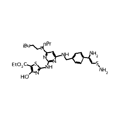 CCCN(CCC(C)CC)c1cc(NCc2ccc(/C(N)=C/SN)cc2)nc(Nc2nc(O)c(C(=O)OCC)s2)n1